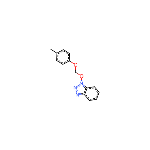 Cc1ccc(OCOn2nnc3ccccc32)cc1